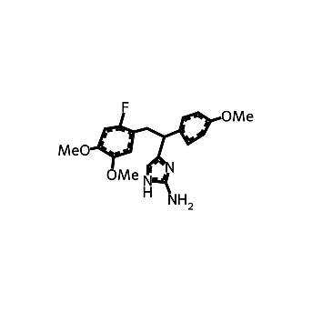 COc1ccc(C(Cc2cc(OC)c(OC)cc2F)c2c[nH]c(N)n2)cc1